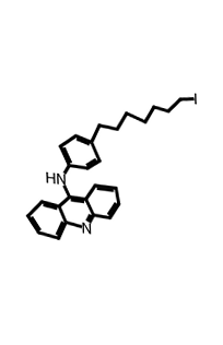 ICCCCCCCc1ccc(Nc2c3ccccc3nc3ccccc23)cc1